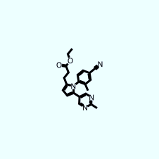 CCOC(=O)CCc1ccc(-c2cnc(C)nc2)n1-c1ccc(C#N)cc1C